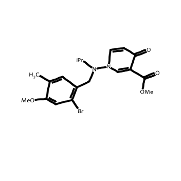 COC(=O)c1cn(N(Cc2cc(C)c(OC)cc2Br)C(C)C)ccc1=O